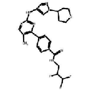 Cc1cnc(Nc2cnn(C3CCOCC3)c2)nc1-c1ccc(C(=O)NCC(F)C(F)F)cc1